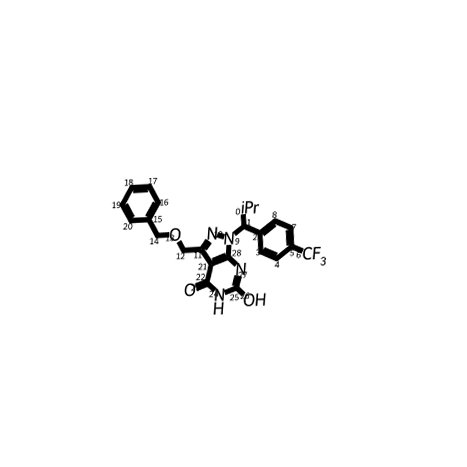 CC(C)C(c1ccc(C(F)(F)F)cc1)n1nc(COCc2ccccc2)c2c(=O)[nH]c(O)nc21